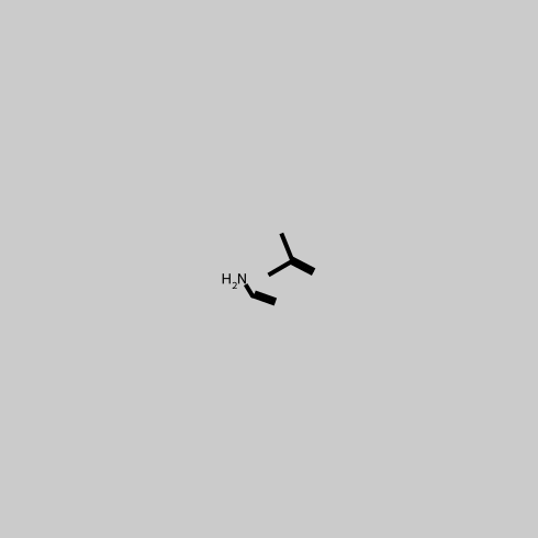 C=C(C)C.C=CN